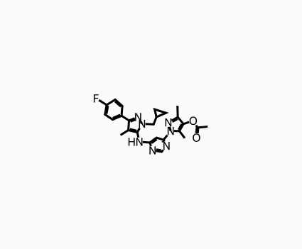 CC(=O)Oc1c(C)nn(-c2cc(Nc3c(C)c(-c4ccc(F)cc4)nn3CC3CC3)ncn2)c1C